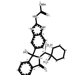 COC(=O)Nc1nc2cc(C3(O)c4ccccc4C(=O)N3[C@H](C(=O)O)C3(C)CCCCC3)ccc2[nH]1